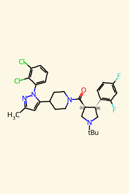 Cc1cc(C2CCN(C(=O)[C@@H]3CN(C(C)(C)C)C[C@H]3c3ccc(F)cc3F)CC2)n(-c2cccc(Cl)c2Cl)n1